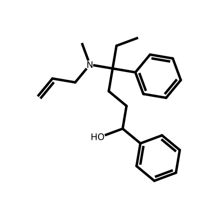 C=CCN(C)C(CC)(CCC(O)c1ccccc1)c1ccccc1